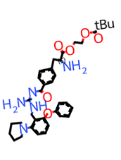 CC(C)(C)C(=O)OCCOC(=O)[C@@H](N)Cc1ccc(C(=O)N=C(N)NCc2c(Oc3ccccc3)cccc2N2CCCCC2)cc1